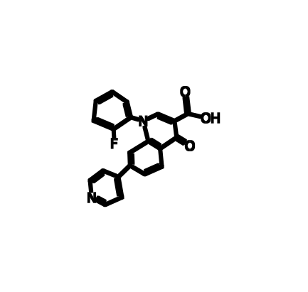 O=C(O)c1cn(-c2ccccc2F)c2cc(-c3ccncc3)ccc2c1=O